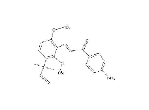 C=CC(C)(C)c1ccc(OCCCC)c(C=CC(=O)c2ccc(N)cc2)c1OCCCC